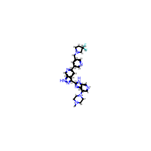 CN1CCN(c2cncc3[nH]c(-c4n[nH]c5cnc(-c6cncc(CN7CCC(F)(F)C7)c6)cc45)nc23)CC1